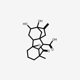 C=C1CC23CC1(O)C(O)CC2C12CCCC(C)(C(=O)O1)C2C3C(=O)O